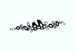 Nc1ccc(S(=O)(=O)c2ccc(N3C(=O)c4ccc5c6ccc7c8c(ccc(c9ccc(c4c59)C3=O)c86)C(=O)N(c3ccc(S(=O)(=O)c4ccc(N)cc4)cc3)C7=O)cc2)cc1